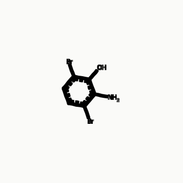 Nc1c(Br)ccc(Br)c1O